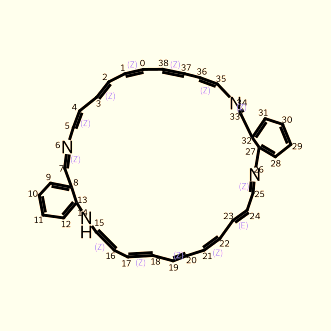 C1=C\C=C/C=C\N=C/c2ccccc2N\C=C/C=C\C=C/C=C\C=C\C=N/c2ccccc2\C=N/C=C\C=C/1